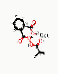 C=C(C)C(=O)OOC(=O)c1ccccc1C(=O)OCCCCCCCC